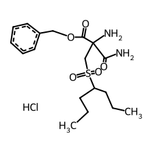 CCCC(CCC)S(=O)(=O)CC(N)(C(N)=O)C(=O)OCc1ccccc1.Cl